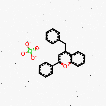 [O-][Cl+3]([O-])([O-])[O-].c1ccc(Cc2cc(-c3ccccc3)[o+]c3ccccc23)cc1